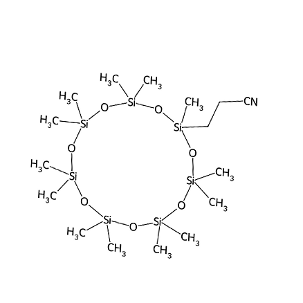 C[Si]1(C)O[Si](C)(C)O[Si](C)(C)O[Si](C)(C)O[Si](C)(CCC#N)O[Si](C)(C)O[Si](C)(C)O1